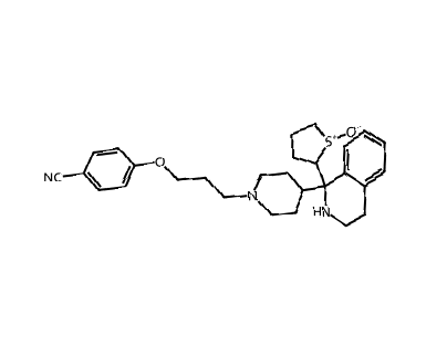 N#Cc1ccc(OCCCN2CCC(C3(C4CCC[S+]4[O-])NCCc4ccccc43)CC2)cc1